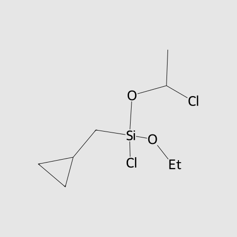 CCO[Si](Cl)(CC1CC1)OC(C)Cl